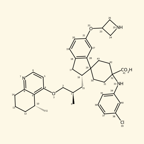 C[C@@H](COc1ccnc2c1[C@H](C)CCC2)C[C@@H]1Cc2ccc(OC3CNC3)cc2C12CCC(Nc1cccc(Cl)c1)(C(=O)O)CC2